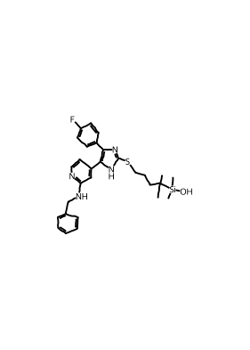 CC(C)(CCCSc1nc(-c2ccc(F)cc2)c(-c2ccnc(NCc3ccccc3)c2)[nH]1)[Si](C)(C)O